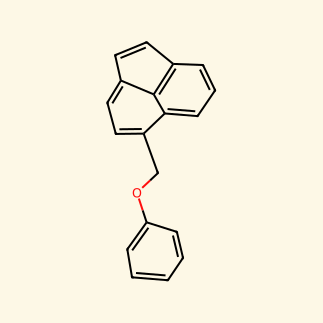 C1=Cc2ccc(COc3ccccc3)c3cccc1c23